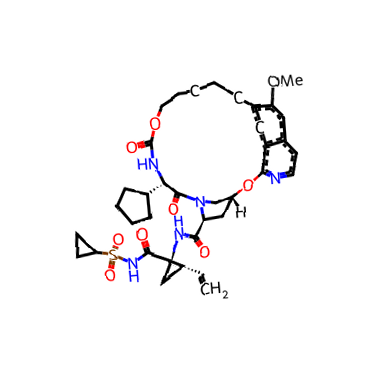 C=C[C@@H]1C[C@]1(NC(=O)[C@@H]1C[C@@H]2CN1C(=O)[C@H](C1CCCC1)NC(=O)OCCCCCc1cc3c(nccc3cc1OC)O2)C(=O)NS(=O)(=O)C1CC1